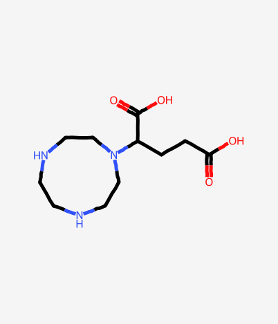 O=C(O)CCC(C(=O)O)N1CCNCCNCC1